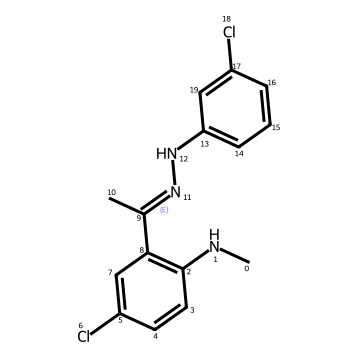 CNc1ccc(Cl)cc1/C(C)=N/Nc1cccc(Cl)c1